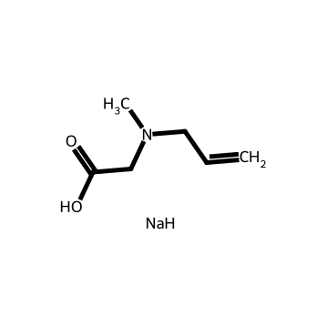 C=CCN(C)CC(=O)O.[NaH]